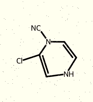 N#CN1C=CNC=C1Cl